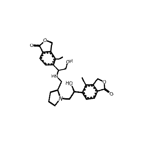 Cc1c(C(O)CN2CCCC2CNC(CO)c2ccc3c(c2C)COC3=O)ccc2c1COC2=O